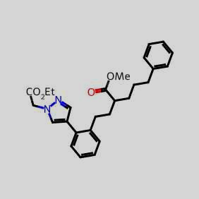 CCOC(=O)Cn1cc(-c2ccccc2CCC(CCCc2ccccc2)C(=O)OC)cn1